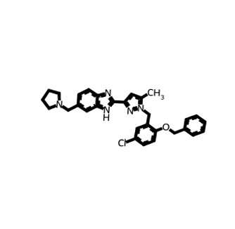 Cc1cc(-c2nc3ccc(CN4CCCC4)cc3[nH]2)nn1Cc1cc(Cl)ccc1OCc1ccccc1